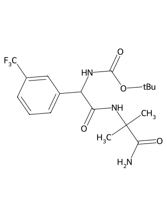 CC(C)(C)OC(=O)NC(C(=O)NC(C)(C)C(N)=O)c1cccc(C(F)(F)F)c1